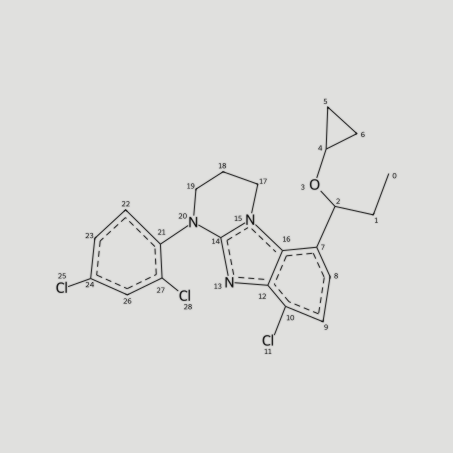 CCC(OC1CC1)c1ccc(Cl)c2nc3n(c12)CCCN3c1ccc(Cl)cc1Cl